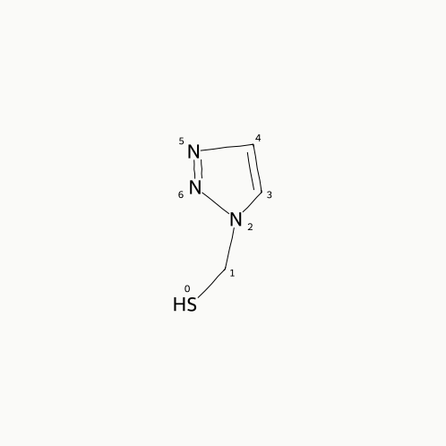 SCn1ccnn1